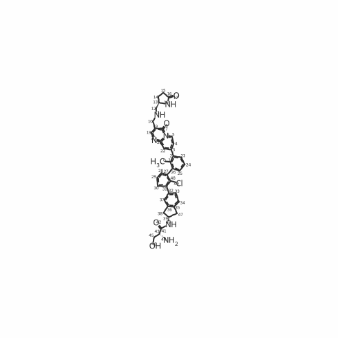 Cc1c(-c2ccn3c(=O)c(CNC[C@H]4CCC(=O)N4)cnc3c2)cccc1-c1cccc(-c2ccc3c(c2)C[C@H](NC(=O)[C@H](N)CO)C3)c1Cl